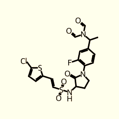 CC(c1ccc(N2CCC(NS(=O)(=O)C=Cc3ccc(Cl)s3)C2=O)c(F)c1)N(C=O)C=O